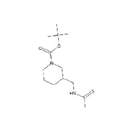 CS(=S)NCC1CCCN(C(=O)OC(C)(C)C)C1